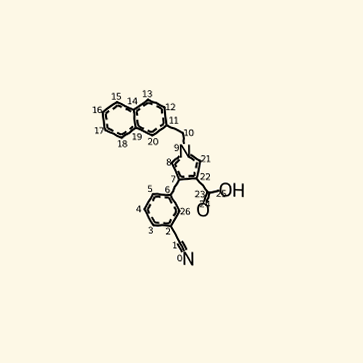 N#Cc1cccc(-c2cn(Cc3ccc4ccccc4c3)cc2C(=O)O)c1